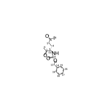 CC(=O)[C@H](CCC(=O)I)NC(=O)OCc1ccccc1